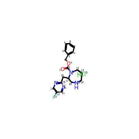 Cl.O=C(OCc1ccccc1)N1CCCNCC1Cc1ncc(F)cn1